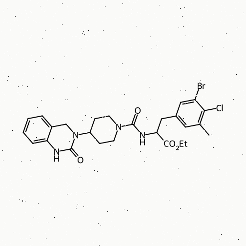 CCOC(=O)C(Cc1cc(C)c(Cl)c(Br)c1)NC(=O)N1CCC(N2Cc3ccccc3NC2=O)CC1